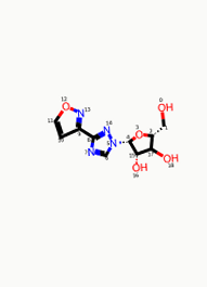 OC[C@H]1O[C@@H](n2cnc(-c3ccon3)n2)[C@@H](O)C1O